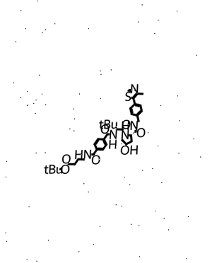 Cc1ncsc1-c1ccc(CNC(=O)[C@@H]2C[C@@H](O)CN2C(=O)C(NC(=O)c2ccc(C(=O)NCCCC(=O)OC(C)(C)C)cc2)C(C)(C)C)cc1